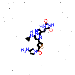 N[C@@H]1CCN(C(=O)c2cc(-c3cc(NC4CC4)n4ncc(/C=C5\NC(=O)NC5=O)c4n3)cs2)C1